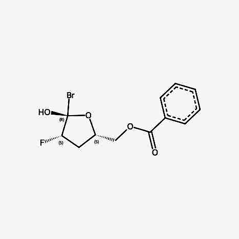 O=C(OC[C@@H]1C[C@H](F)[C@](O)(Br)O1)c1ccccc1